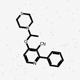 CC(Oc1ccnc(-c2ccccc2)c1C#N)N1CCSCC1